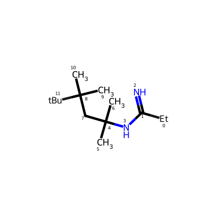 CCC(=N)NC(C)(C)CC(C)(C)C(C)(C)C